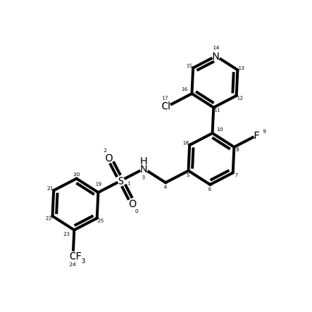 O=S(=O)(NCc1ccc(F)c(-c2ccncc2Cl)c1)c1cccc(C(F)(F)F)c1